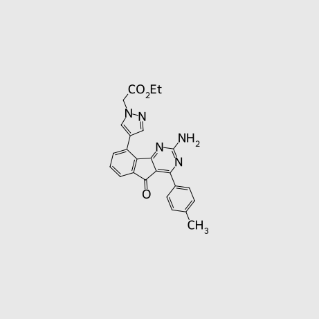 CCOC(=O)Cn1cc(-c2cccc3c2-c2nc(N)nc(-c4ccc(C)cc4)c2C3=O)cn1